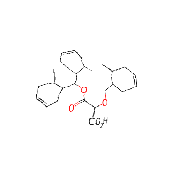 CC1CC=CCC1COC(C(=O)O)C(=O)OC(C1CC=CCC1C)C1CC=CCC1C